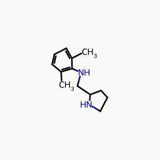 Cc1cccc(C)c1NCC1CCCN1